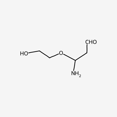 NC(CC=O)OCCO